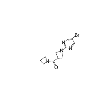 O=C(C1CN(c2ncc(Br)cn2)C1)N1CCC1